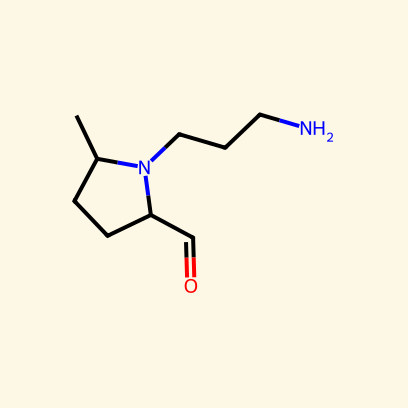 CC1CCC(C=O)N1CCCN